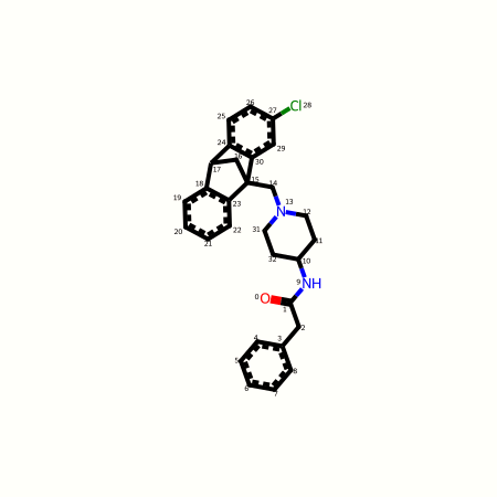 O=C(Cc1ccccc1)NC1CCN(CC23CC(c4ccccc42)c2ccc(Cl)cc23)CC1